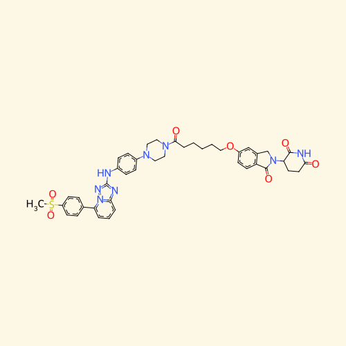 CS(=O)(=O)c1ccc(-c2cccc3nc(Nc4ccc(N5CCN(C(=O)CCCCCOc6ccc7c(c6)CN(C6CCC(=O)NC6=O)C7=O)CC5)cc4)nn23)cc1